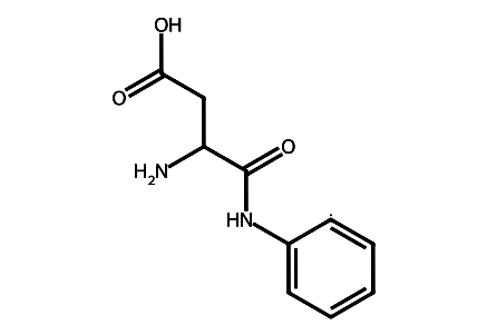 NC(CC(=O)O)C(=O)Nc1[c]cccc1